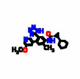 COc1cncc(-c2cc(C)c(NC(=O)[C@@H]3C[C@H]3C3CCCCC3)cc2-c2nnn[nH]2)c1